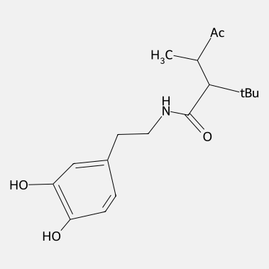 CC(=O)C(C)C(C(=O)NCCc1ccc(O)c(O)c1)C(C)(C)C